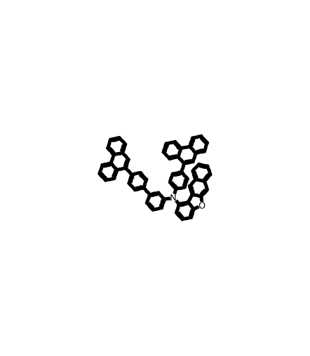 c1cc(-c2ccc(-c3cc4ccccc4c4ccccc34)cc2)cc(N(c2ccc(-c3cc4ccccc4c4ccccc34)cc2)c2cccc3oc4cc5ccccc5cc4c23)c1